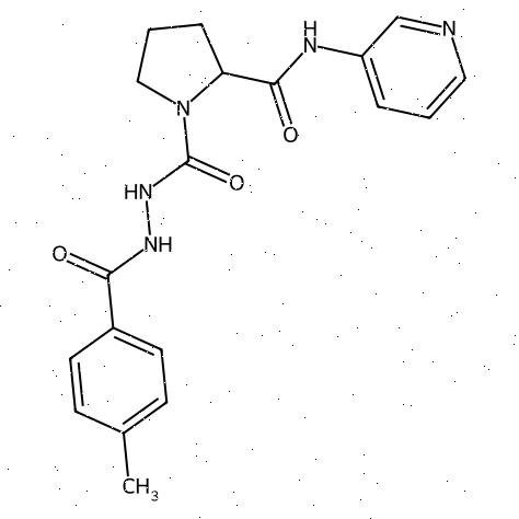 Cc1ccc(C(=O)NNC(=O)N2CCCC2C(=O)Nc2cccnc2)cc1